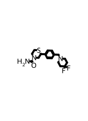 NC(=O)N1CCSC(c2ccc(CN3CCC(F)(F)CC3)cc2)C1